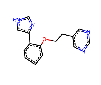 c1ccc(-c2c[nH]cn2)c(OCCc2cncnc2)c1